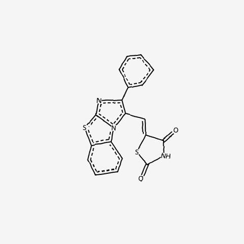 O=C1NC(=O)C(=Cc2c(-c3ccccc3)nc3sc4ccccc4n23)S1